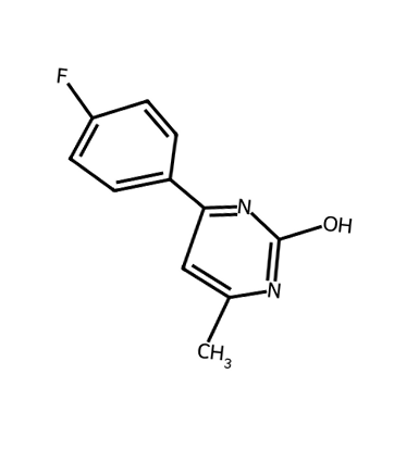 Cc1cc(-c2ccc(F)cc2)nc(O)n1